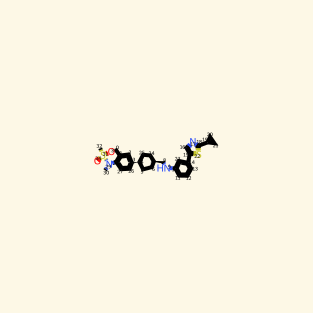 Cc1cc([C@H]2CC[C@H](CNc3cccc(-c4cnc(C5CC5)s4)c3)CC2)ccc1N(C)S(C)(=O)=O